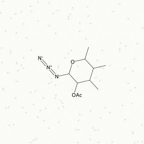 CC(=O)OC1C(N=[N+]=[N-])OC(C)C(C)C1C